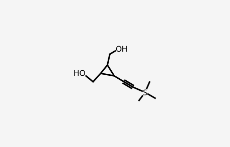 CS(C)(C)C#CC1C(CO)C1CO